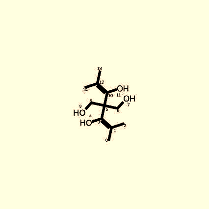 CC(C)=C(O)C(CO)(CO)C(O)=C(C)C